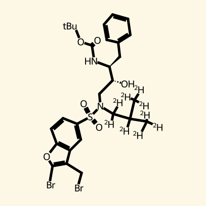 [2H]C([2H])([2H])C([2H])(C([2H])([2H])[2H])C([2H])([2H])N(C[C@@H](O)[C@H](Cc1ccccc1)NC(=O)OC(C)(C)C)S(=O)(=O)c1ccc2oc(Br)c(CBr)c2c1